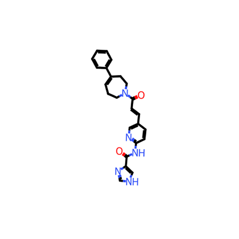 O=C(Nc1ccc(/C=C/C(=O)N2CCC=C(c3ccccc3)CC2)cn1)c1c[nH]cn1